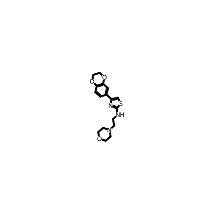 c1cc2c(cc1-c1csc(NCCN3CCOCC3)n1)OCCO2